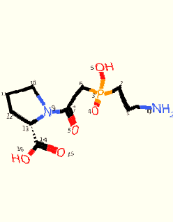 NCCP(=O)(O)CC(=O)N1CCC[C@H]1C(=O)O